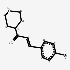 O=C(/C=C/c1ccc(Br)cc1)C1CCOCC1